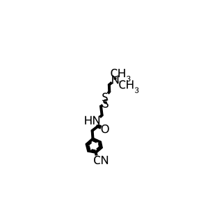 CN(C)CCSSCCNC(=O)Cc1ccc(C#N)cc1